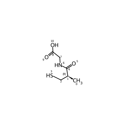 C[C@@H](CS)C(=O)NCC(=O)O